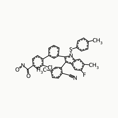 Cc1ccc(Sn2c(-c3cccc(-c4ccc(C(=O)N=O)cc4Cl)c3)c(-c3cc(C)ccc3C#N)c3cc(F)c(C)cc32)cc1